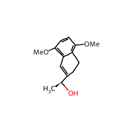 COc1ccc(OC)c2c1C=C([C@H](C)O)CC2